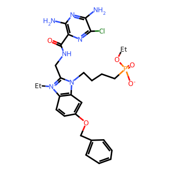 CCOP(=O)([O-])CCCCn1c(CNC(=O)c2nc(Cl)c(N)nc2N)[n+](CC)c2ccc(OCc3ccccc3)cc21